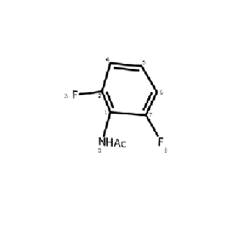 CC(=O)Nc1c(F)cccc1F